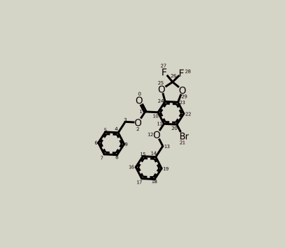 O=C(OCc1ccccc1)c1c(OCc2ccccc2)c(Br)cc2c1OC(F)(F)O2